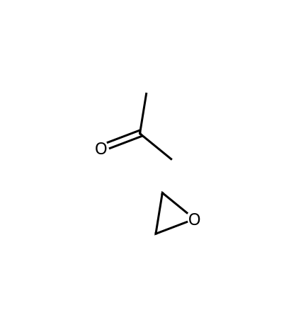 C1CO1.CC(C)=O